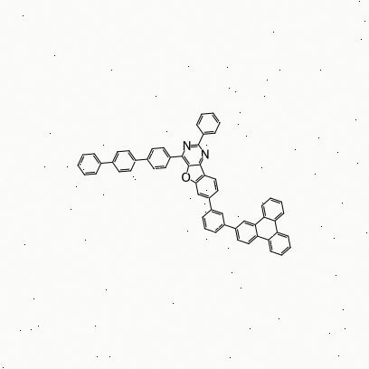 c1ccc(-c2ccc(-c3ccc(-c4nc(-c5ccccc5)nc5c4oc4cc(-c6cccc(-c7ccc8c9ccccc9c9ccccc9c8c7)c6)ccc45)cc3)cc2)cc1